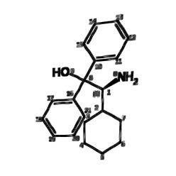 N[C@@H](C1CCCCC1)C(O)(c1ccccc1)c1ccccc1